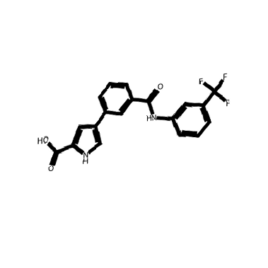 O=C(Nc1cccc(C(F)(F)F)c1)c1cccc(-c2c[nH]c(C(=O)O)c2)c1